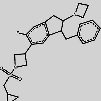 O=S(=O)(CC1CC1)N1CC(c2cc3c(cc2F)CC(N2CCC2)C3Cc2ccccc2)C1